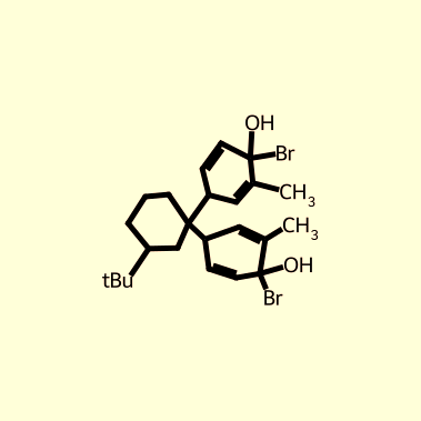 CC1=CC(C2(C3C=CC(O)(Br)C(C)=C3)CCCC(C(C)(C)C)C2)C=CC1(O)Br